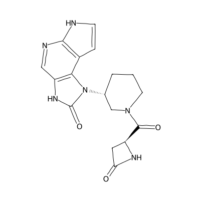 O=C1C[C@@H](C(=O)N2CCC[C@@H](n3c(=O)[nH]c4cnc5[nH]ccc5c43)C2)N1